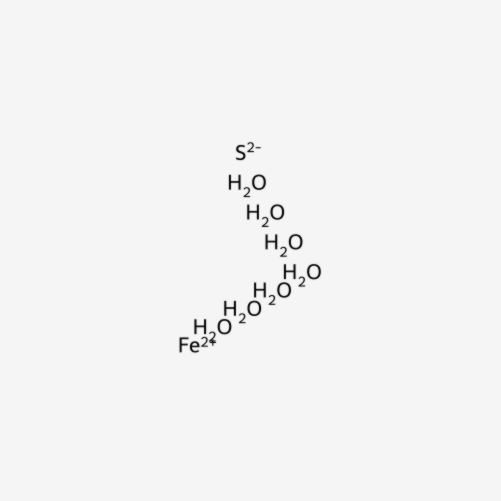 O.O.O.O.O.O.O.[Fe+2].[S-2]